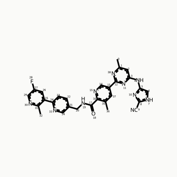 Cc1cc(Nc2c[nH]c(C#N)n2)nc(-c2cnc(C(=O)NCc3ccc(-c4cc(F)cnc4C)nc3)c(C)c2)n1